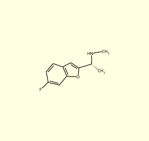 CN[C@H](C)c1cc2ccc(F)cc2o1